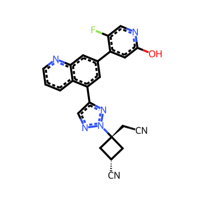 N#CC[C@]1(n2ncc(-c3cc(-c4cc(O)ncc4F)cc4ncccc34)n2)C[C@@H](C#N)C1